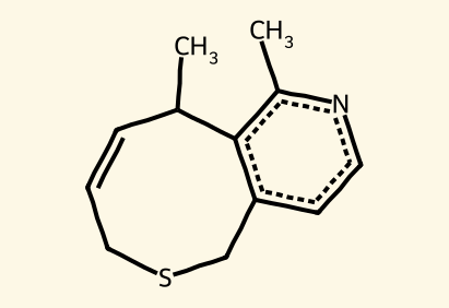 Cc1nccc2c1C(C)/C=C\CSC2